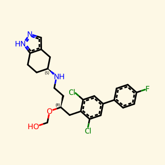 OCO[C@@H](CCN[C@H]1CCc2[nH]ncc2C1)Cc1c(Cl)cc(-c2ccc(F)cc2)cc1Cl